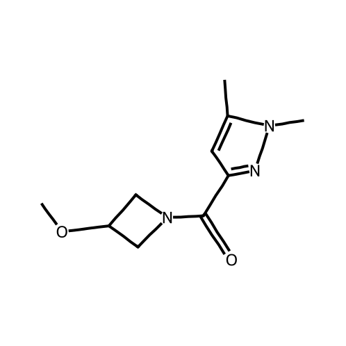 COC1CN(C(=O)c2cc(C)n(C)n2)C1